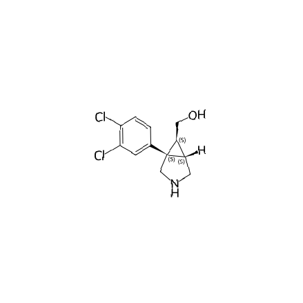 OC[C@H]1[C@@H]2CNC[C@]12c1ccc(Cl)c(Cl)c1